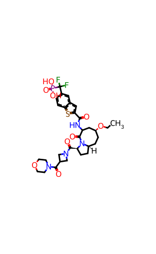 CCO[C@H]1CC[C@H]2CC[C@@H](C(=O)N3CC(C(=O)N4CCOCC4)C3)N2C(=O)C(NC(=O)c2cc3cc(C(F)(F)P(=O)(O)O)ccc3s2)C1